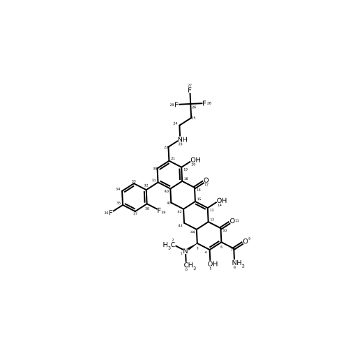 CN(C)[C@@H]1C(O)=C(C(N)=O)C(=O)C2C(O)=C3C(=O)c4c(O)c(CNCCC(F)(F)F)cc(-c5ccc(F)cc5F)c4CC3CC21